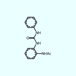 CC(=O)Nc1ccccc1NC(=O)Nc1ccccc1